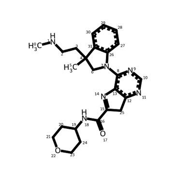 CNCCC1(C)CN(c2ncnc3c2N=C(C(=O)NC2CCOCC2)C3)c2ccccc21